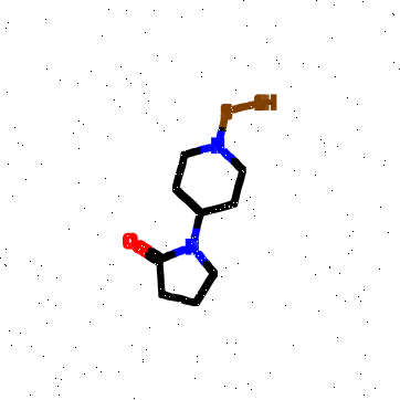 O=C1CCCN1C1CCN(SS)CC1